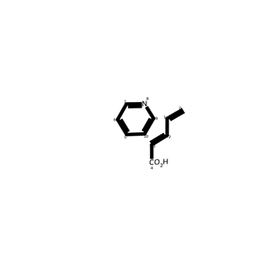 C=CC=CC(=O)O.c1ccncc1